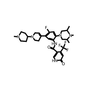 CC1CN(c2cc(F)c(C3=CCN(C4CCN(C)CC4)CC3)cc2NC(=O)c2c[nH]c(=O)cc2C(F)(F)F)CC(C)N1C